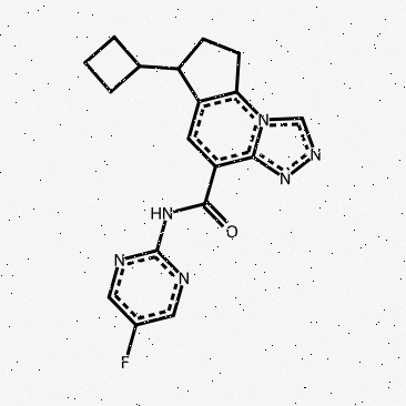 O=C(Nc1ncc(F)cn1)c1cc2c(n3cnnc13)CCC2C1CCC1